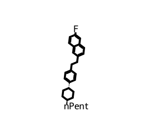 CCCCC[C@H]1CC[C@H](c2ccc(CCc3ccc4cc(F)ccc4c3)cc2)CC1